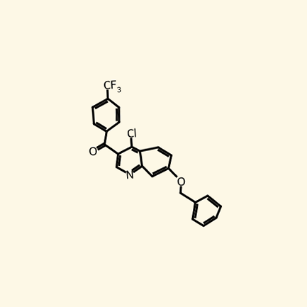 O=C(c1ccc(C(F)(F)F)cc1)c1cnc2cc(OCc3ccccc3)ccc2c1Cl